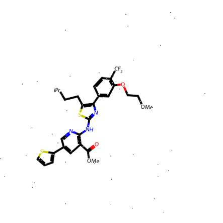 COCCOc1cc(-c2nc(Nc3ncc(-c4cccs4)cc3C(=O)OC)sc2CCC(C)C)ccc1C(F)(F)F